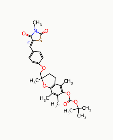 Cc1c(C)c2c(c(C)c1OC(=O)OC(C)(C)C)CCC(C)(COc1ccc(/C=C3\SC(=O)N(C)C3=O)cc1)O2